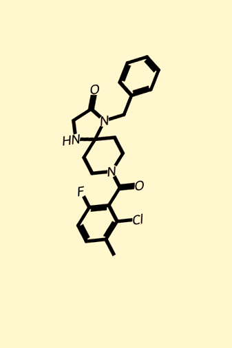 Cc1ccc(F)c(C(=O)N2CCC3(CC2)NCC(=O)N3Cc2ccccc2)c1Cl